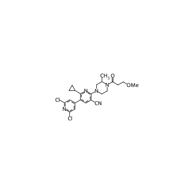 COCCC(=O)N1CCN(c2nc(C3CC3)c(-c3cc(Cl)nc(Cl)c3)cc2C#N)CC1C